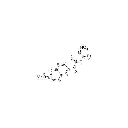 CCC(OC(=O)[C@@H](C)C1=CC2C=CC(OC)=CC2C=C1)O[N+](=O)[O-]